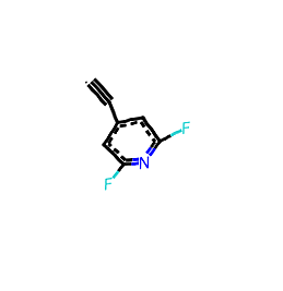 [C]#Cc1cc(F)nc(F)c1